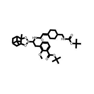 COc1c(CC(NC(=O)C=C2CCC(CNC(=O)OC(C)(C)C)CC2)B2OC3CC4CC(C4(C)C)C3(C)O2)cccc1C(=O)OC(C)(C)C